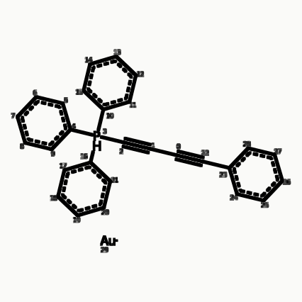 C(C#C[PH](c1ccccc1)(c1ccccc1)c1ccccc1)#Cc1ccccc1.[Au]